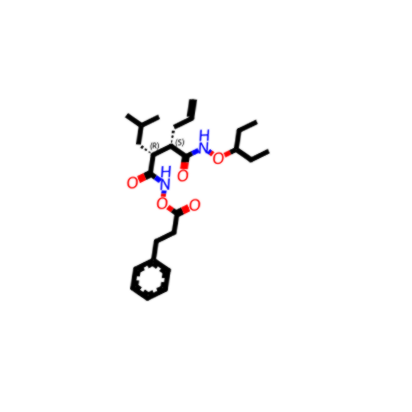 C=CC[C@H](C(=O)NOC(CC)CC)[C@@H](CC(C)C)C(=O)NOC(=O)CCc1ccccc1